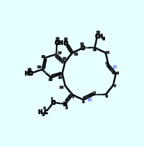 CON=C1/C=C/CC/C=C/CC(C)OC(=O)c2c(O)cc(O)cc2C1